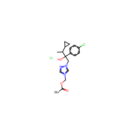 CC(C1CC1)C(O)(C[n+]1cn(COC(=O)C(C)(C)C)cn1)c1ccc(Cl)cc1.[Cl-]